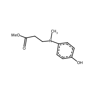 COC(=O)CCN(C)c1ccc(O)cc1